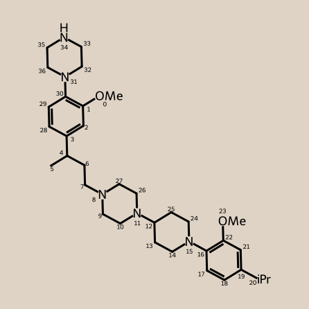 COc1cc(C(C)CCN2CCN(C3CCN(c4ccc(C(C)C)cc4OC)CC3)CC2)ccc1N1CCNCC1